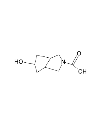 O=C(O)N1CC2CC(O)CC2C1